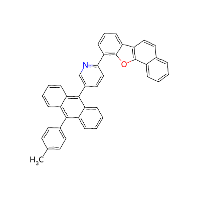 Cc1ccc(-c2c3ccccc3c(-c3ccc(-c4cccc5c4oc4c6ccccc6ccc54)nc3)c3ccccc23)cc1